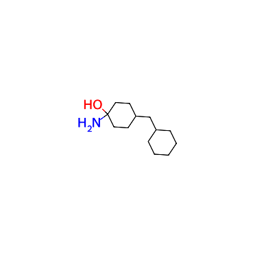 NC1(O)CCC(CC2CCCCC2)CC1